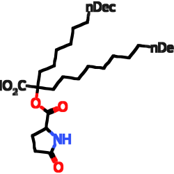 CCCCCCCCCCCCCCCCCCC(CCCCCCCCCCCCCCCC)(OC(=O)C1CCC(=O)N1)C(=O)O